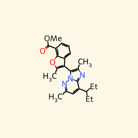 CCC(CC)c1cc(C)nn2c(-c3c(C)oc4c(C(=O)OC)cccc34)c(C)nc12